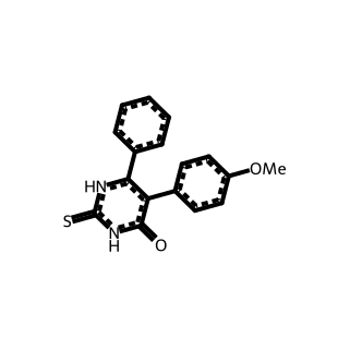 COc1ccc(-c2c(-c3ccccc3)[nH]c(=S)[nH]c2=O)cc1